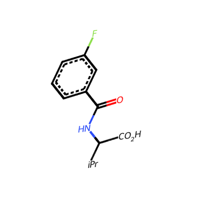 CC(C)C(NC(=O)c1cccc(F)c1)C(=O)O